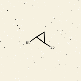 C[CH]C1CC1CC